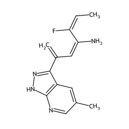 C=C(/C=C(N)\C(F)=C/C)c1n[nH]c2ncc(C)cc12